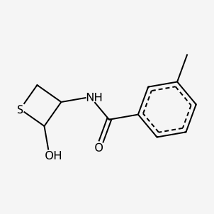 Cc1cccc(C(=O)NC2CSC2O)c1